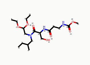 CCOC(CN(CC(C)CC)C(=O)C(CO)NC(=O)CCNC(=O)OC)OCC